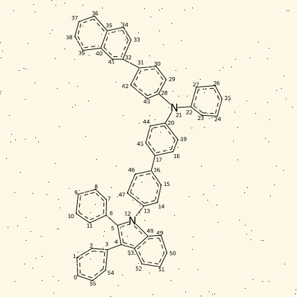 c1ccc(-c2c(-c3ccccc3)n(-c3ccc(-c4ccc(N(c5ccccc5)c5ccc(-c6ccc7ccccc7c6)cc5)cc4)cc3)c3ccccc23)cc1